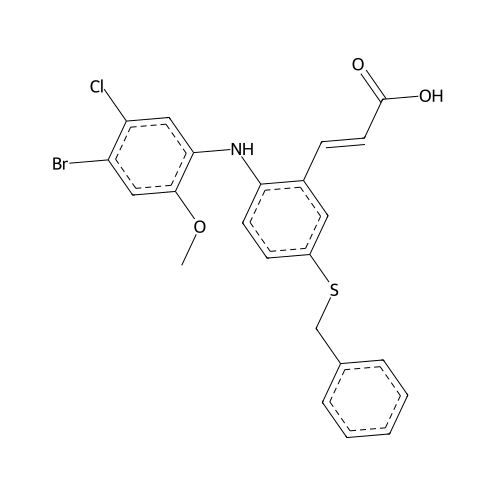 COc1cc(Br)c(Cl)cc1Nc1ccc(SCc2ccccc2)cc1C=CC(=O)O